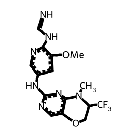 COc1cc(Nc2ncc3c(n2)N(C)C(C(F)(F)F)CO3)cnc1NC=N